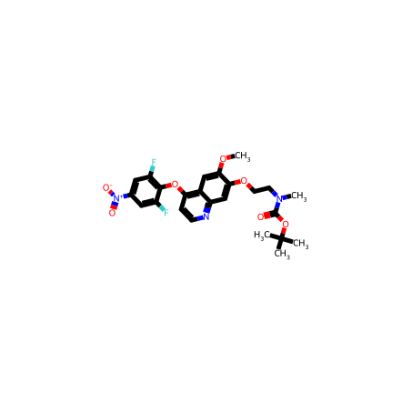 COc1cc2c(Oc3c(F)cc([N+](=O)[O-])cc3F)ccnc2cc1OCCN(C)C(=O)OC(C)(C)C